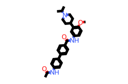 COc1ccc(NC(=O)c2ccc(-c3ccc(NC(C)=O)cc3)cc2)cc1C1CCN(C(C)C)CC1